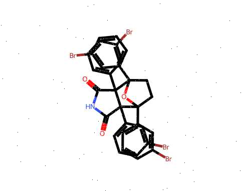 O=C1NC(=O)C2(c3cccc(Br)c3)C3(c4cccc(Br)c4)CCC(c4cccc(Br)c4)(O3)C12c1cccc(Br)c1